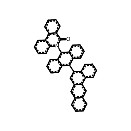 O=c1c2ccccc2c2ccccc2n1-c1c2ccccc2c(-c2cc3cc4ccccc4cc3c3ccccc23)c2ccccc12